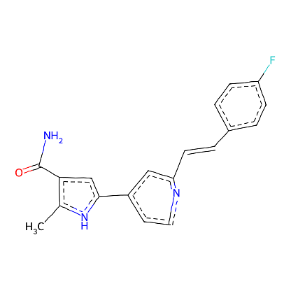 Cc1[nH]c(-c2ccnc(/C=C/c3ccc(F)cc3)c2)cc1C(N)=O